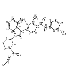 CC#CC(=O)N1CCCC(c2nc(-c3ccc(C(=O)Nc4cc(C(F)(F)F)ccn4)c(C(F)(F)F)c3)n3c(N)nccc23)C1